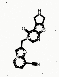 N#Cc1cccn2cc(Cn3cnc4sc5c(c4c3=O)CNC5)nc12